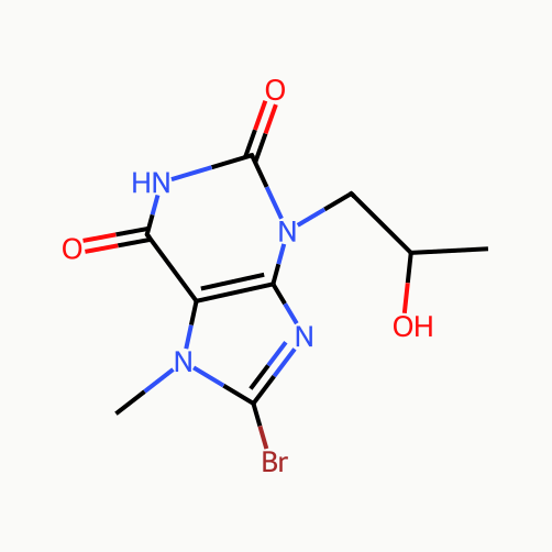 CC(O)Cn1c(=O)[nH]c(=O)c2c1nc(Br)n2C